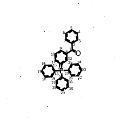 O=C(c1ccccc1)c1cccc([PH](c2ccccc2)(c2ccccc2)c2ccccc2)c1